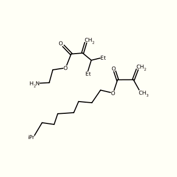 C=C(C(=O)OCCN)C(CC)CC.C=C(C)C(=O)OCCCCCCCC(C)C